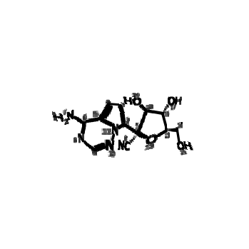 N#C[C@@]1(c2ccc3c(N)ncnn23)O[C@H](CO)[C@@H](O)C1O